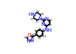 c1cc(Nc2ccc(-c3nnco3)cc2)nc(N2CCNCC2)n1